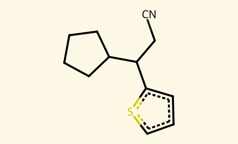 N#CCC(c1cccs1)C1CCCC1